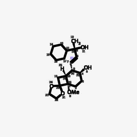 CO[C@@]12CC[C@H](O)[C@@H](/C=C/[C@@](C)(O)C3CCCCC3)[C@@H]1CC21OCCO1